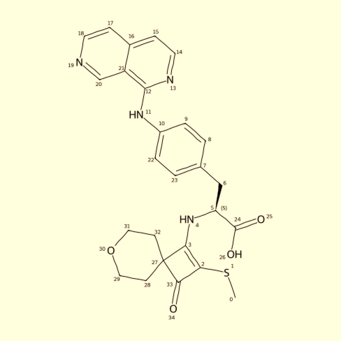 CSC1=C(N[C@@H](Cc2ccc(Nc3nccc4ccncc34)cc2)C(=O)O)C2(CCOCC2)C1=O